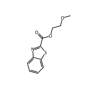 COCCOC(=O)c1nc2ccccc2s1